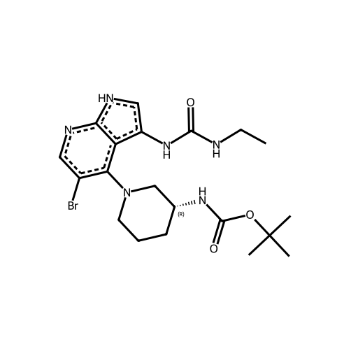 CCNC(=O)Nc1c[nH]c2ncc(Br)c(N3CCC[C@@H](NC(=O)OC(C)(C)C)C3)c12